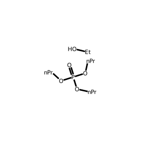 CCCOP(=O)(OCCC)OCCC.CCO